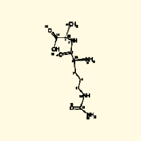 C[C@H](NC(=O)[C@@H](N)CCCNC(N)=O)C(=O)O